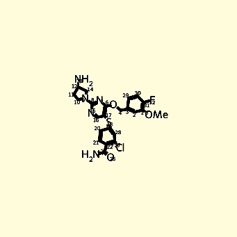 COc1cc(COc2nc(N3CC[C@@H](N)C3)ncc2Sc2ccc(C(N)=O)c(Cl)c2)ccc1F